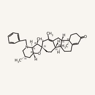 CC1=C2C[C@H]3[C@@H](CCC4=CC(=O)CC[C@@]43C)[C@@H]2CC[C@@]2(C1)O[C@@H]1C[C@H](C)CN(Cc3ccccc3)[C@H]1[C@H]2C